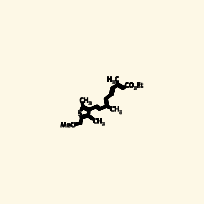 CCOC(=O)C=C(C)C=CC=C(C)C=Cc1c(C)sc(COC)c1C